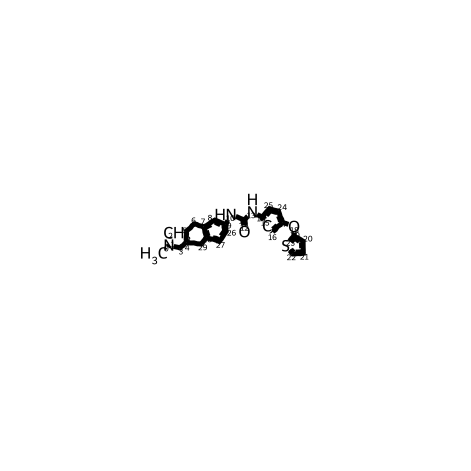 CN(C)CC1CCc2cc(NC(=O)Nc3ccc(Oc4cccs4)cc3)ccc2C1